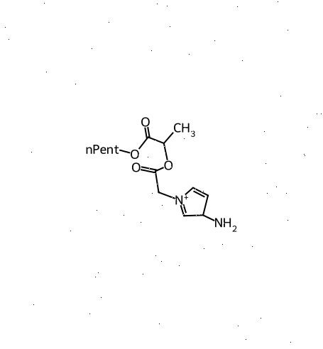 CCCCCOC(=O)C(C)OC(=O)C[N+]1=CC(N)C=C1